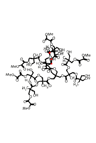 COC(=O)C(=O)OCC(C)(CO)C(=O)OCC(C)(COC(=O)C(C)(CO)CO)C(=O)OCC(COC(=O)C(C)(CO)COC(=O)C(C)(CO)CO)(COC(=O)C(C)(COC(=O)C(C)(CO)COC(=O)C(=O)OC)COC(=O)C(C)(CO)COC(=O)C(=O)OC)COC(=O)C(C)(COC(=O)C(C)(CO)COC(=O)C(=O)OC)COC(=O)C(C)(CO)COC(=O)C(=O)OC